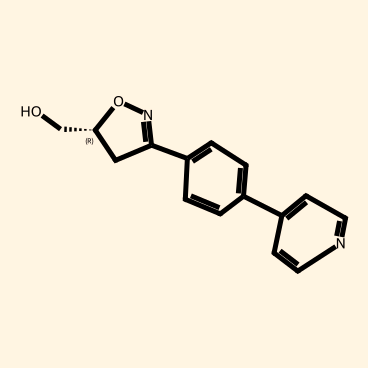 OC[C@H]1CC(c2ccc(-c3ccncc3)cc2)=NO1